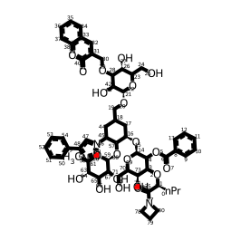 CCC[C@H](OC1C(OC(=O)c2ccccc2)[C@H](O[C@@H]2CC(CO[C@H]3OC(CO)[C@@H](O)C(OCc4cc5ccccc5oc4=O)C3O)CC(n3cc(-c4ccccc4)nn3)C2O[C@@H]2OC(C)[C@@H](O)C(O)C2O)OC(CO)[C@@H]1O)C(=O)N1CCC1